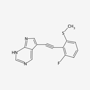 CSc1cccc(F)c1C#Cc1cnc2[nH]cncc1-2